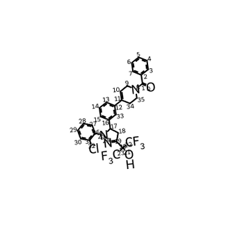 O=C(c1ccccc1)N1CC=C(c2cccc(C3CC(C(O)(C(F)(F)F)C(F)(F)F)=NN3c3ccccc3Cl)c2)CC1